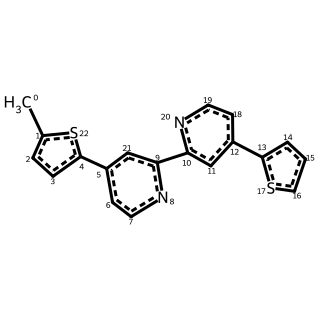 Cc1ccc(-c2ccnc(-c3cc(-c4cccs4)ccn3)c2)s1